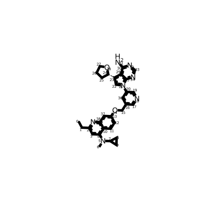 CCc1cc(N(C)C2CC2)c2ccc(OCc3cncc(-n4cc([C@@H]5CCCO5)c5c(N)ncnc54)c3)cc2n1